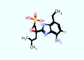 CCc1cc(F)c(N)c2nc(C3(CC(C)C)OC3P(=O)(O)O)[nH]c12